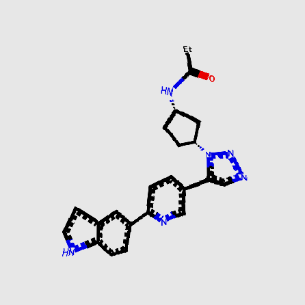 CCC(=O)N[C@H]1CC[C@@H](n2nncc2-c2ccc(-c3ccc4[nH]ccc4c3)nc2)C1